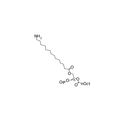 CCCCCCCCC(=O)O[C@@H](COP=O)COC(=O)CCCCCCCCCCCCCN